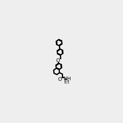 CCNC(=O)CC1CCCc2cc(OCc3ccc(-c4ccccc4)cc3)ccc21